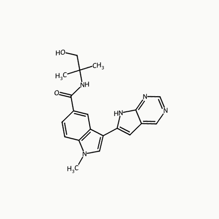 Cn1cc(-c2cc3cncnc3[nH]2)c2cc(C(=O)NC(C)(C)CO)ccc21